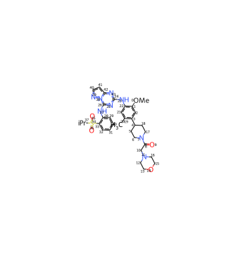 COc1cc(C2CCN(C(=O)CN3CCOCC3)CC2)c(C)cc1Nc1nc(Nc2ccccc2S(=O)(=O)C(C)C)n2nccc2n1